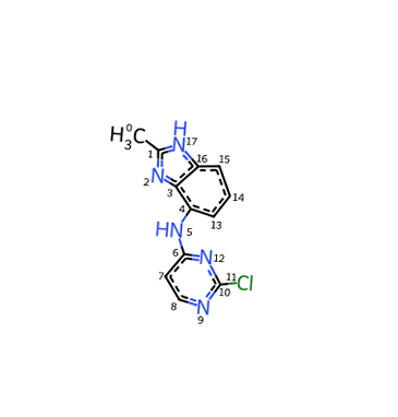 Cc1nc2c(Nc3ccnc(Cl)n3)cccc2[nH]1